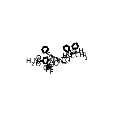 CC(C)(C)[Si](OC[C@H]1CN(C(=O)C[C@H](CSc2ccccc2)Nc2ccc(S(N)(=O)=O)cc2S(=O)(=O)C(F)(F)F)CCO1)(c1ccccc1)c1ccccc1